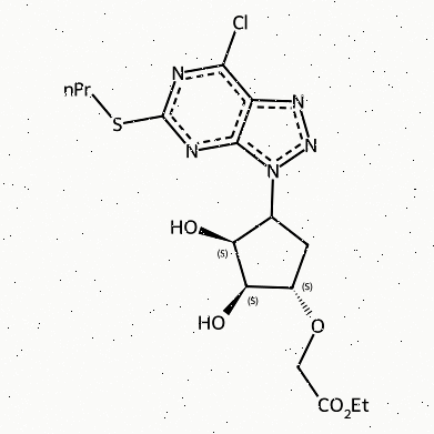 CCCSc1nc(Cl)c2nnn(C3C[C@H](OCC(=O)OCC)[C@@H](O)[C@H]3O)c2n1